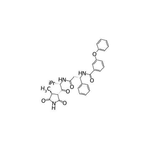 CC(C)[C@H](NC(=O)C[C@H](NC(=O)c1cccc(Oc2ccccc2)c1)c1ccccc1)C(=O)[C@@H]1C(=O)NC(=O)[C@H]1C